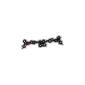 Cc1ccc(-n2c3ccccc3c3cc(-c4ccc5cc(/C=C/c6ccc7c(c6)C6(c8ccccc8-c8ccccc86)c6cc(/C=C/c8ccc9cc(-c%10ccc%11c(c%10)c%10ccccc%10n%11-c%10ccc(C)cc%10)ccc9c8)ccc6-7)ccc5c4)ccc32)cc1